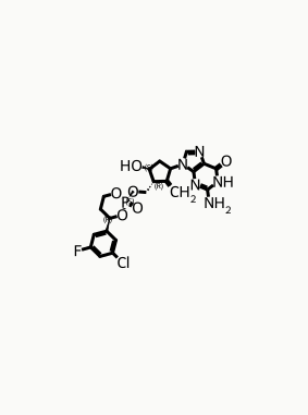 C=C1C(n2cnc3c(=O)[nH]c(N)nc32)C[C@H](O)[C@H]1CO[P@]1(=O)OCC[C@H](c2cc(F)cc(Cl)c2)O1